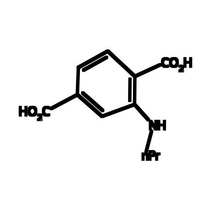 CCCNc1cc(C(=O)O)ccc1C(=O)O